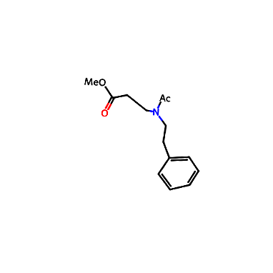 COC(=O)CCN(CCc1ccccc1)C(C)=O